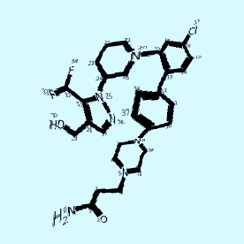 NC(=O)CCN1CCN(c2ccc(-c3ccc(Cl)cc3N3CCCC(n4ncc(CO)c4C(F)F)C3)cc2)CC1